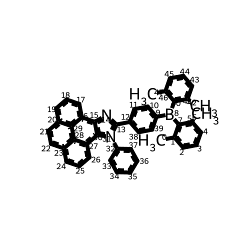 Cc1cccc(C)c1B(c1ccc(-c2nc3c4cccc5ccc6cccc(c6c54)c3n2-c2ccccc2)cc1)c1c(C)cccc1C